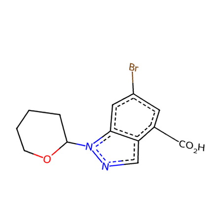 O=C(O)c1cc(Br)cc2c1cnn2C1CCCCO1